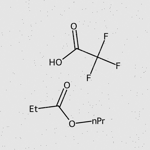 CCCOC(=O)CC.O=C(O)C(F)(F)F